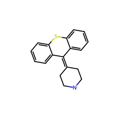 c1ccc2c(c1)Sc1ccccc1C2=C1CC[N]CC1